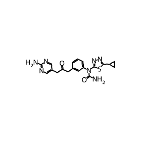 NC(=O)N(c1cccc(CC(=O)Cc2cnc(N)nc2)c1)c1nnc(C2CC2)s1